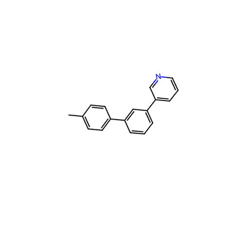 Cc1ccc(-c2cccc(-c3cccnc3)c2)cc1